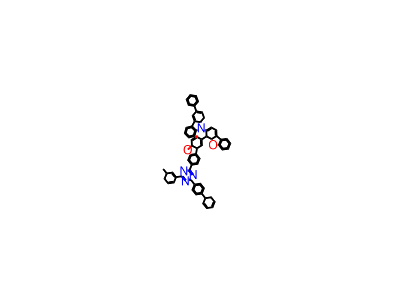 CC1C=C(c2nc(-c3ccc(C4C=CC=CC4)cc3)nc(-c3ccc4c(c3)OC3C=CC(C5C(N6c7ccccc7C7=CC(c8ccccc8)=CCC76)=CC=C6c7ccccc7OC65)=CC43)n2)C=CC1